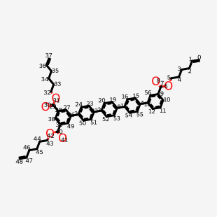 C=CCCCCOC(=O)c1cccc(-c2ccc(-c3ccc(-c4ccc(-c5cc(C(=O)OCCCCC=C)cc(C(=O)OCCCCC=C)c5)cc4)cc3)cc2)c1